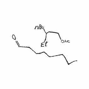 CCCCC(CC)COC(C)=O.CCCCCCCC=O